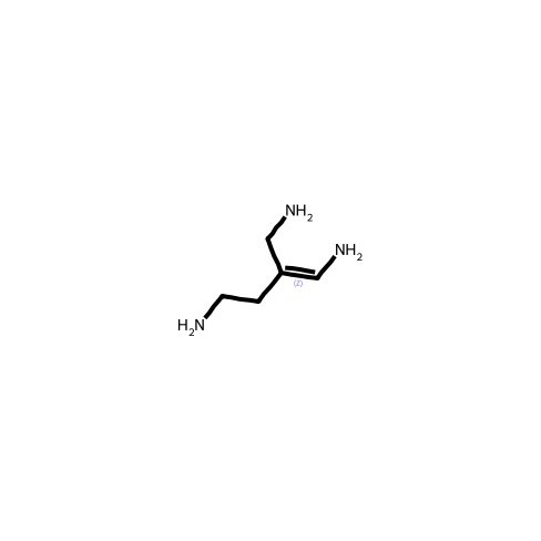 N/C=C(\CN)CCN